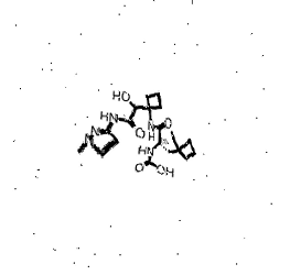 Cn1ccc(NC(=O)C(O)C2(NC(=O)[C@H](CC3(C)CCC3)NC(=O)O)CCC2)n1